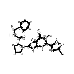 Cc1noc(-c2nc3sc(N4CCC[C@@H]4C(=O)N[C@H](C)c4ccccc4)nc3c(=O)n2C)n1